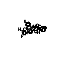 C[C@@H]1C[C@H](F)CN1c1ccc2c(=O)c(C(=O)NC3(C)C=C4CC5CC(CC45)C3)cn(-c3ccc(F)cc3F)c2n1